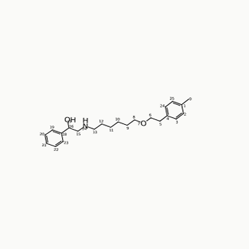 Cc1ccc(CCOCCCCCCNCC(O)c2ccccc2)cc1